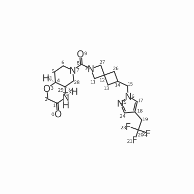 O=C1CO[C@H]2CCN(C(=O)N3CC4(CC(Cn5cc(CC(F)(F)F)cn5)C4)C3)C[C@H]2N1